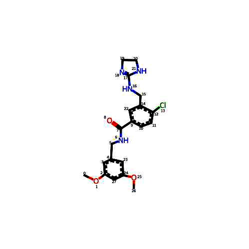 COc1cc(CNC(=O)c2ccc(Cl)c(CNC3=NCCN3)c2)cc(OC)c1